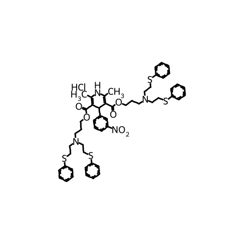 CC1=C(C(=O)OCCCN(CCSc2ccccc2)CCSc2ccccc2)C(c2cccc([N+](=O)[O-])c2)C(C(=O)OCCCN(CCSc2ccccc2)CCSc2ccccc2)=C(C)N1.Cl